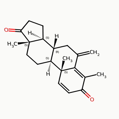 C=C1C[C@@H]2[C@H](CC[C@]3(C)C(=O)CC[C@@H]23)[C@@]2(C)C=CC(=O)C(C)=C12